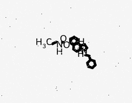 CCCNC(=O)Oc1cccc2c1CC[C@@H]1[C@H]2CCN1CCC1CCCCC1